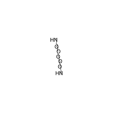 CNCCCOCCOCCOCCOCCOCCCNC